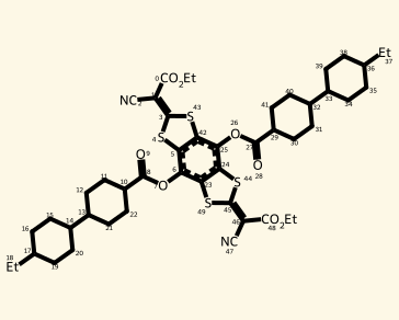 CCOC(=O)C(C#N)=C1Sc2c(OC(=O)C3CCC(C4CCC(CC)CC4)CC3)c3c(c(OC(=O)C4CCC(C5CCC(CC)CC5)CC4)c2S1)SC(=C(C#N)C(=O)OCC)S3